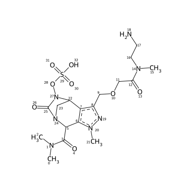 CN(C)C(=O)C1c2c(c(COCC(=O)N(C)CCN)nn2C)C2CN1C(=O)N2OS(=O)(=O)O